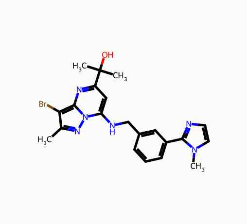 Cc1nn2c(NCc3cccc(-c4nccn4C)c3)cc(C(C)(C)O)nc2c1Br